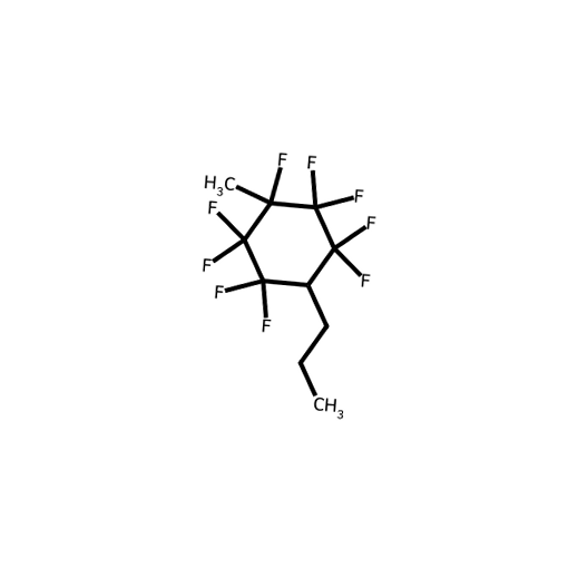 CCCC1C(F)(F)C(F)(F)C(C)(F)C(F)(F)C1(F)F